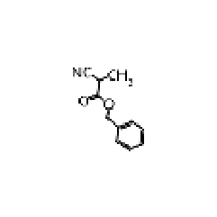 CC(C#N)C(=O)OCc1ccccc1